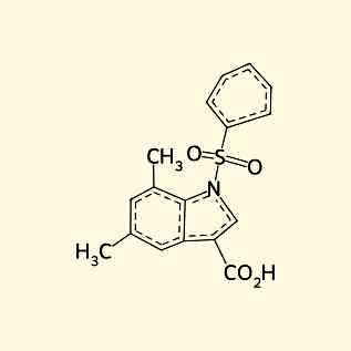 Cc1cc(C)c2c(c1)c(C(=O)O)cn2S(=O)(=O)c1ccccc1